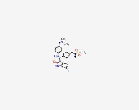 CN(C)Cc1ccc(N/C(=C2\C(=O)Nc3cc(F)ccc32)c2ccc(CNS(C)(=O)=O)cc2)cc1